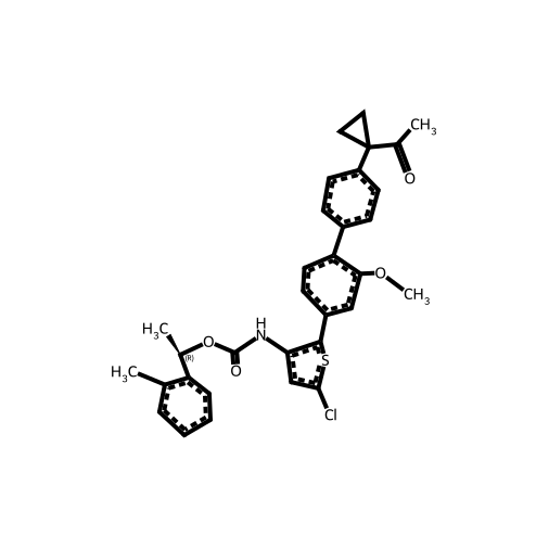 COc1cc(-c2sc(Cl)cc2NC(=O)O[C@H](C)c2ccccc2C)ccc1-c1ccc(C2(C(C)=O)CC2)cc1